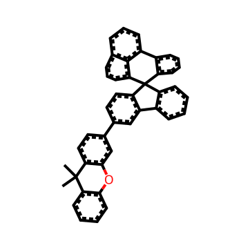 CC1(C)c2ccccc2Oc2cc(-c3ccc4c(c3)-c3ccccc3C43c4ccccc4-c4cccc5cccc3c45)ccc21